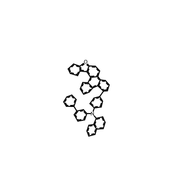 c1ccc(-c2cccc(N(c3ccc(-c4cccc5c6ccc7oc8ccccc8c7c6c6ccccc6c45)cc3)c3cccc4ccccc34)c2)cc1